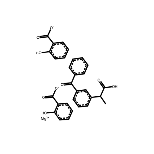 CC(C(=O)O)c1cccc(C(=O)c2ccccc2)c1.O=C([O-])c1ccccc1O.O=C([O-])c1ccccc1O.[Mg+2]